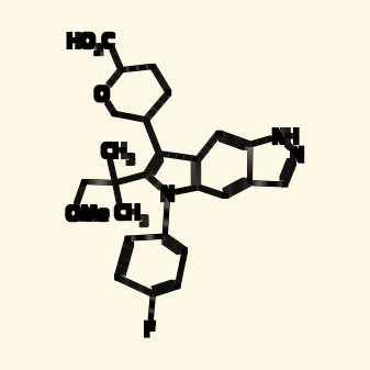 COCC(C)(C)c1c(C2CCC(C(=O)O)OC2)c2cc3[nH]ncc3cc2n1-c1ccc(F)cc1